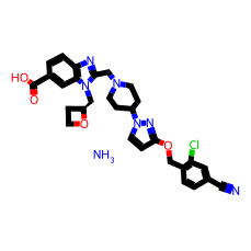 N.N#Cc1ccc(COc2ccn(C3CCN(Cc4nc5ccc(C(=O)O)cc5n4C[C@@H]4CCO4)CC3)n2)c(Cl)c1